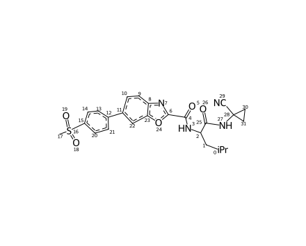 CC(C)CC(NC(=O)c1nc2ccc(-c3ccc(S(C)(=O)=O)cc3)cc2o1)C(=O)NC1(C#N)CC1